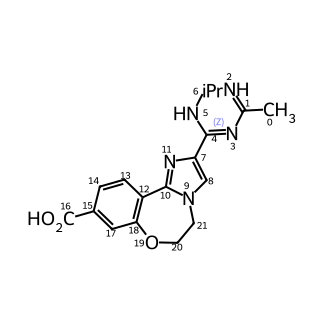 CC(=N)/N=C(\NC(C)C)c1cn2c(n1)-c1ccc(C(=O)O)cc1OCC2